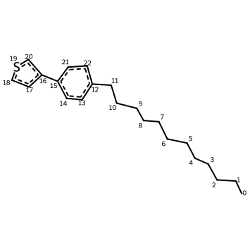 CCCCCCCCCCCCc1ccc(-c2ccsc2)cc1